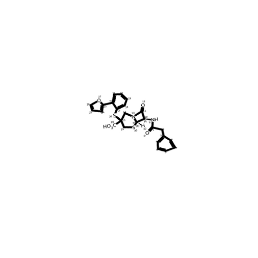 O=C(Cc1ccccc1)N[C@@H]1C(=O)N2CC(Sc3ccccc3-c3ccco3)(C(=O)O)CS[C@H]12